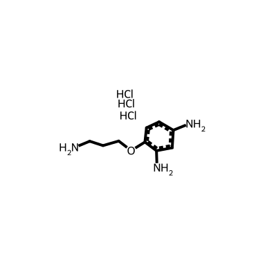 Cl.Cl.Cl.NCCCOc1ccc(N)cc1N